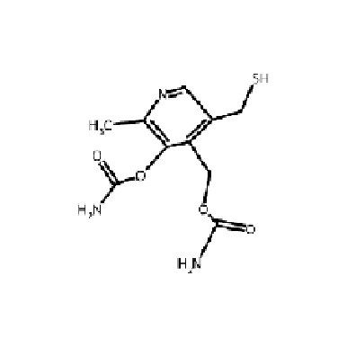 Cc1ncc(CS)c(COC(N)=O)c1OC(N)=O